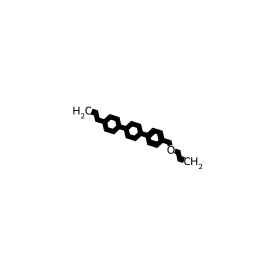 C=CCOCc1ccc(C2CCC(C3CCC(CC=C)CC3)CC2)cc1